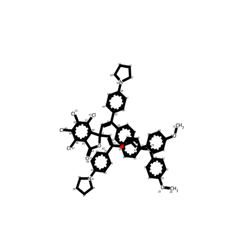 COc1ccc(Oc2ccc(C(=CC3(C=C(c4ccc(Oc5ccc(OC)cc5)cc4)c4ccc(N5CCCC5)cc4)OC(=O)c4c(Cl)c(Cl)c(Cl)c(Cl)c43)c3ccc(N4CCCC4)cc3)cc2)cc1